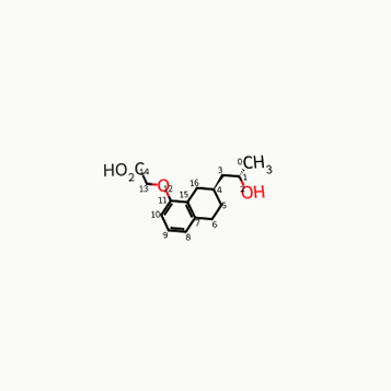 C[C@H](O)C[C@H]1CCc2cccc(OCC(=O)O)c2C1